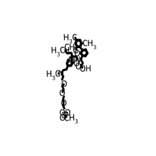 Cc1cc(C)c(-c2cccc(C(CC(=O)O)NC(=O)C(CCC(C)C)n3ccc(CCN(C)CCOCCOCCOCCOS(C)(=O)=O)cc3=O)c2)c(C)c1